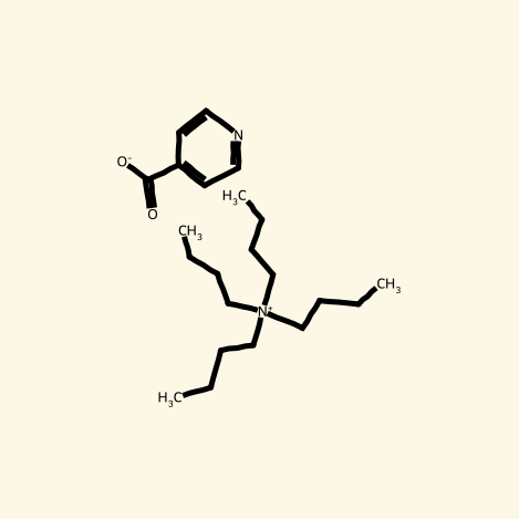 CCCC[N+](CCCC)(CCCC)CCCC.O=C([O-])c1ccncc1